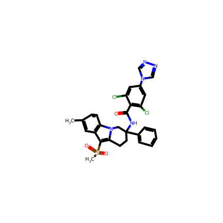 Cc1ccc2c(c1)c(S(C)(=O)=O)c1n2CC(NC(=O)c2c(Cl)cc(-n3cnnc3)cc2Cl)(c2ccccc2)CC1